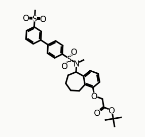 CN(C1CCCCc2c(OCC(=O)OC(C)(C)C)cccc21)S(=O)(=O)c1ccc(-c2cccc(S(C)(=O)=O)c2)cc1